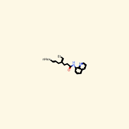 CCC=C(C/C=C/CCCCCC)CCC(=O)Nc1cccc2cccnc12